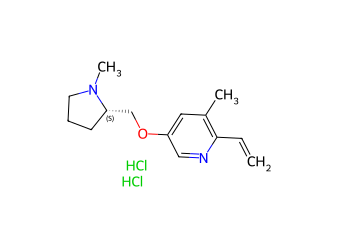 C=Cc1ncc(OC[C@@H]2CCCN2C)cc1C.Cl.Cl